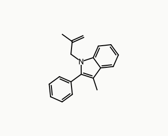 C=C(C)Cn1c(-c2ccccc2)c(C)c2ccccc21